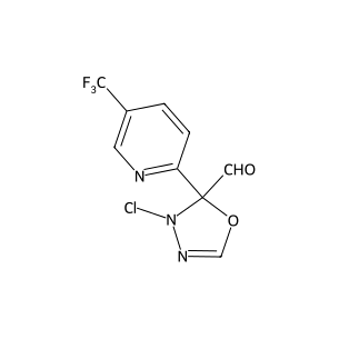 O=CC1(c2ccc(C(F)(F)F)cn2)OC=NN1Cl